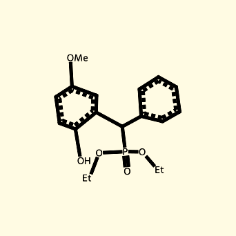 CCOP(=O)(OCC)C(c1ccccc1)c1cc(OC)ccc1O